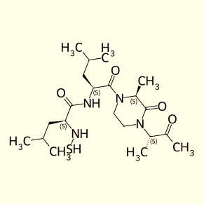 CC(=O)[C@H](C)N1CCN(C(=O)[C@H](CC(C)C)NC(=O)[C@H](CC(C)C)NS)[C@@H](C)C1=O